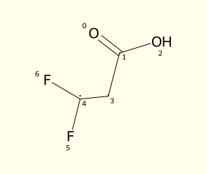 O=C(O)C[C](F)F